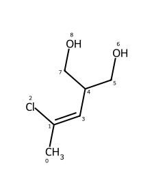 CC(Cl)=CC(CO)CO